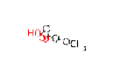 Cc1ccc(-c2ccc(C(=O)c3ccccc3C(=O)O)cc2)cc1